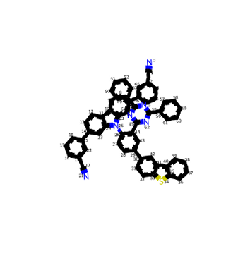 N#Cc1cccc(-c2ccc3c4ccc(-c5cccc(C#N)c5)cc4n(-c4ccc(-c5ccc6sc7ccccc7c6c5)cc4-c4nc(-c5ccccc5)nc(-c5ccccc5)n4)c3c2)c1